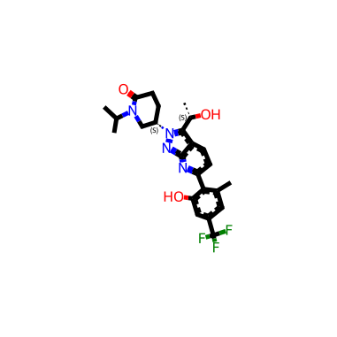 Cc1cc(C(F)(F)F)cc(O)c1-c1ccc2c([C@H](C)O)n([C@H]3CCC(=O)N(C(C)C)C3)nc2n1